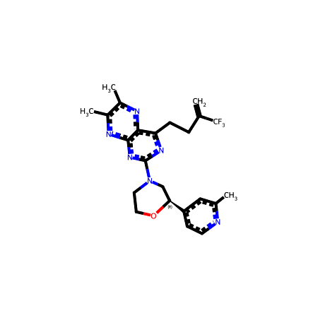 C=C(CCc1nc(N2CCO[C@H](c3ccnc(C)c3)C2)nc2nc(C)c(C)nc12)C(F)(F)F